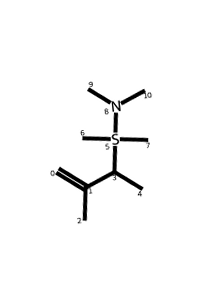 C=C(C)C(C)S(C)(C)N(C)C